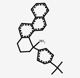 CC(C)(C)c1ccc(C2(N)CCCc3ccc4c(ccc5ccccc54)c32)cc1